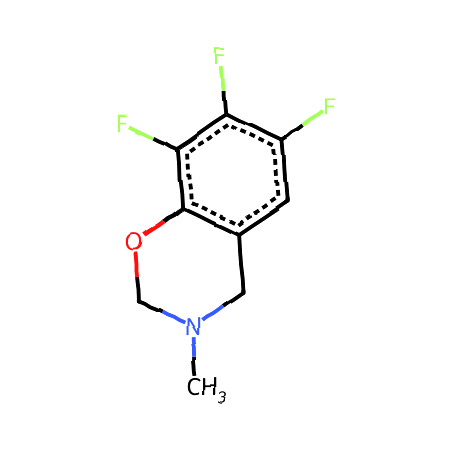 CN1COc2c(cc(F)c(F)c2F)C1